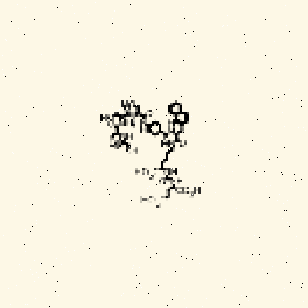 O=C(O)CCC(NC(=O)NC(CCCCNC(=O)C(Cc1ccc2ccccc2c1)NC(=O)C1CCC(NC(=O)C(CO)NC(=O)C(CO)NC(=O)C(CO)NC(=O)CS)CC1)C(=O)O)C(=O)O